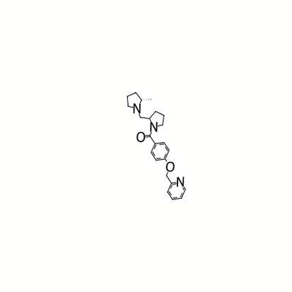 C[C@H]1CCCN1CC1CCCN1C(=O)c1ccc(OCc2ccccn2)cc1